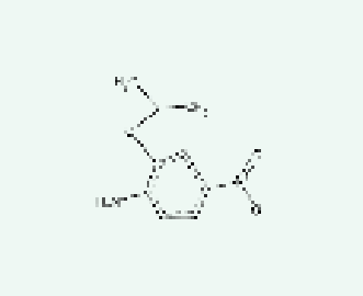 CC(C)Oc1cc([N+](=O)[O-])ccc1N